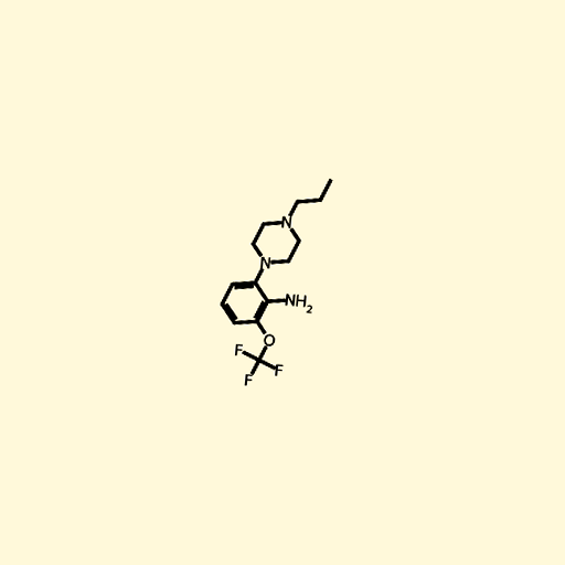 CCCN1CCN(c2cccc(OC(F)(F)F)c2N)CC1